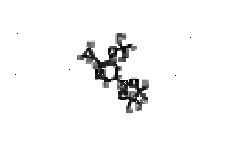 CC(F)(F)Oc1cc(B2OC(C)(C)C(C)(C)O2)cnc1C1CC1